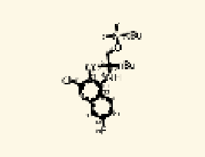 CCCCC(C)(CO[Si](C)(C)C(C)(C)C)Nc1c(C(=O)O)c(Cl)nc2cc(F)ccc12